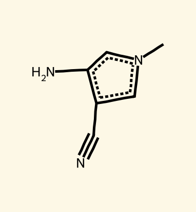 Cn1cc(N)c(C#N)c1